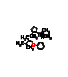 C=C(C)C(C)=COc1ccccc1.CC1=[C]([Ti][SiH](C)C)CC=C1